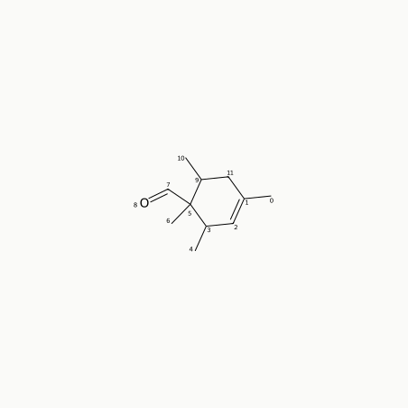 CC1=CC(C)C(C)(C=O)C(C)C1